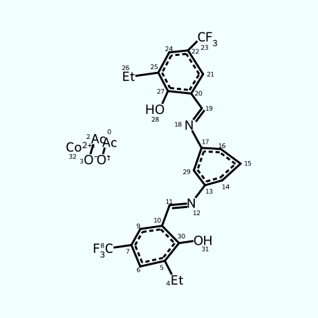 CC(=O)[O-].CC(=O)[O-].CCc1cc(C(F)(F)F)cc(C=Nc2cccc(N=Cc3cc(C(F)(F)F)cc(CC)c3O)c2)c1O.[Co+2]